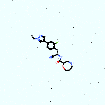 CCn1cc(-c2ccc(C[C@@H](C#N)NC(=O)C3CNCCCO3)c(F)c2)cn1